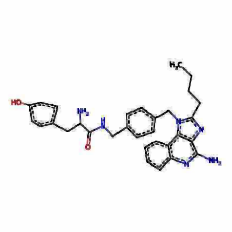 CCCCc1nc2c(N)nc3ccccc3c2n1Cc1ccc(CNC(=O)C(N)Cc2ccc(O)cc2)cc1